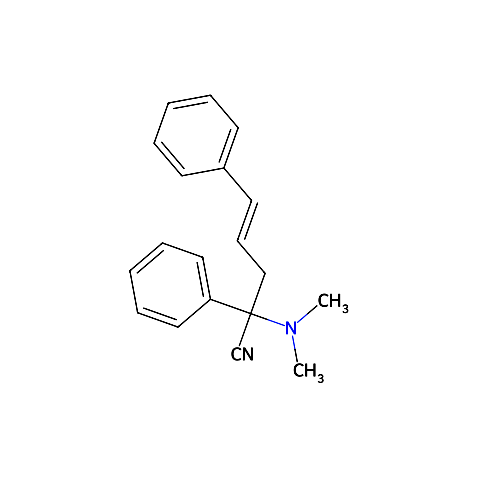 CN(C)C(C#N)(C/C=C/c1ccccc1)c1ccccc1